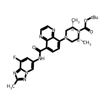 Cc1nc2c(F)cc(NC(=O)c3ccc(N4C[C@@H](C)N(C(=O)OC(C)(C)C)[C@@H](C)C4)c4nccnc34)cn2n1